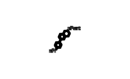 CCCCCC1CCc2cc(-c3ccc(CCC)cc3)ccc2C1